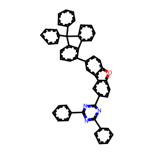 c1ccc(-c2nc(-c3ccccc3)nc(-c3ccc4oc5ccc(-c6cccc7c6-c6ccccc6C7(c6ccccc6)c6ccccc6)cc5c4c3)n2)cc1